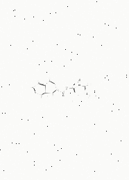 CCCC(NC(C)(C)C)C(O)C(=O)NC(C)c1ccc2ccccc2c1